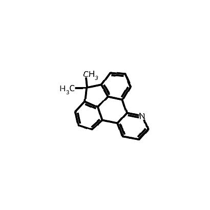 CC1(C)c2cccc3c4cccnc4c4cccc1c4c23